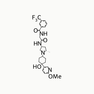 COc1ccc(C2(O)CCC(N3C[C@H](NC(=O)CNC(=O)c4cccc(C(F)(F)F)c4)C[C@@H]3C)CC2)cn1